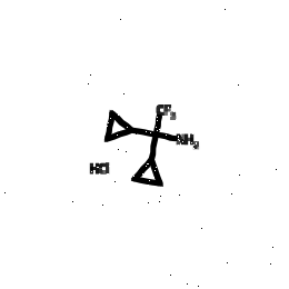 Cl.NC(C1CC1)(C1CC1)C(F)(F)F